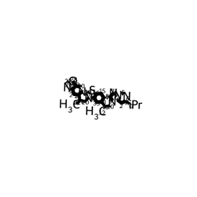 CC(C)c1cc2n(cn1)nc[n+]2CC(C)c1ccc2sc[n+](CC(C)c3cc4ncoc4cn3)c2c1